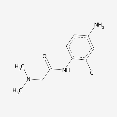 CN(C)CC(=O)Nc1ccc(N)cc1Cl